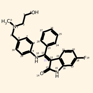 CN(CCO)Cc1ccc(N/C(=C2\C(=O)Nc3cc(F)ccc32)c2ccccc2)cc1